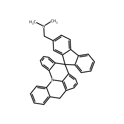 CN(C)Cc1ccc2c(c1)C1(c3ccccc3-2)c2ccccc2N2c3ccccc3Cc3cccc1c32